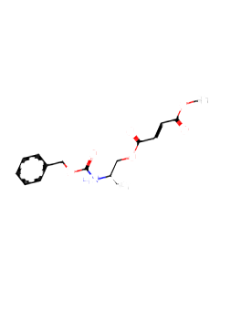 CC(C)OC(=O)/C=C/C(=O)OC[C@H](NC(=O)OCc1ccccc1)C(C)C